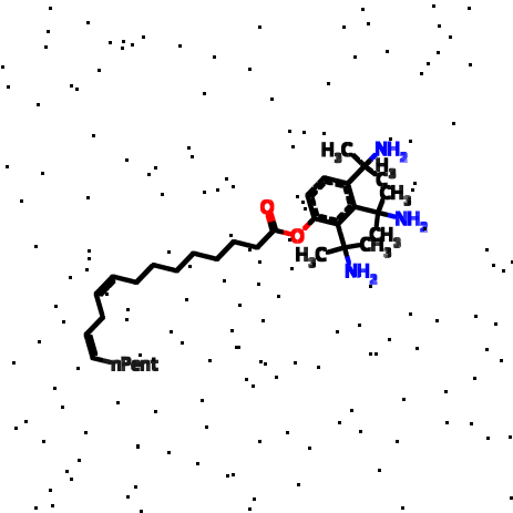 CCCCC/C=C\C/C=C\CCCCCCCC(=O)Oc1ccc(C(C)(C)N)c(C(C)(C)N)c1C(C)(C)N